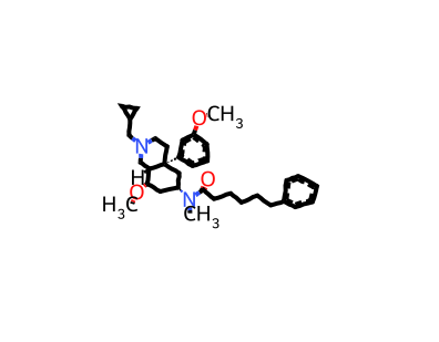 COc1cccc([C@@]23CCN(CC4CC4)C[C@H]2C(OC)C[C@@H](N(C)C(=O)CCCCCc2ccccc2)C3)c1